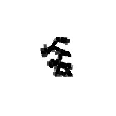 CCCCCS(=O)(=O)NC(=N)SC